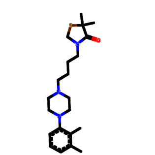 Cc1cccc(N2CCN(CCCCN3CSC(C)(C)C3=O)CC2)c1C